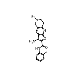 CCN1CCc2nc3oc(C(=O)Nc4ccccc4C)c(N)c3cc2C1